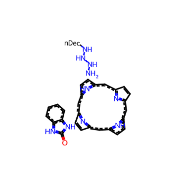 C1=Cc2cc3ccc(cc4nc(cc5ccc(cc1n2)[nH]5)C=C4)[nH]3.CCCCCCCCCCNNNN.O=c1[nH]c2ccccc2[nH]1